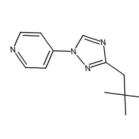 CC(C)(C)Cc1ncn(-c2ccncc2)n1